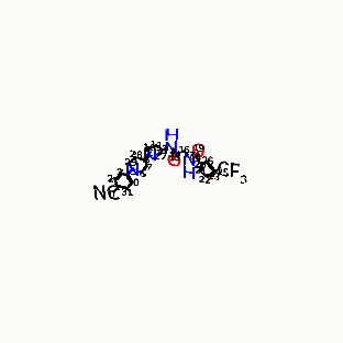 N#Cc1ccc(N2CCC(N3CCC(NC(=O)CNC(=O)c4cccc(C(F)(F)F)c4)C3)CC2)cc1